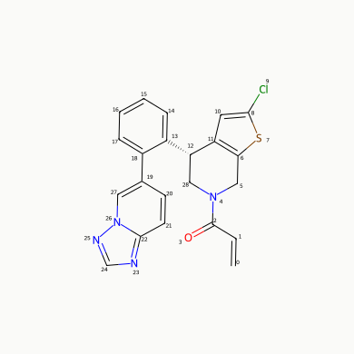 C=CC(=O)N1Cc2sc(Cl)cc2[C@@H](c2ccccc2-c2ccc3ncnn3c2)C1